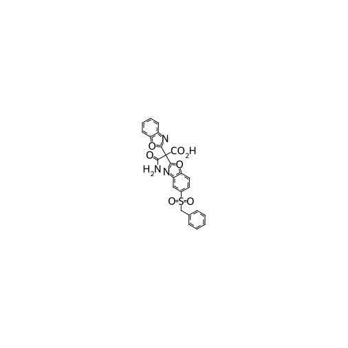 NC(=O)C(C(=O)O)(c1nc2ccccc2o1)c1nc2cc(S(=O)(=O)Cc3ccccc3)ccc2o1